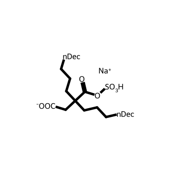 CCCCCCCCCCCCCC(CCCCCCCCCCCCC)(CC(=O)[O-])C(=O)OS(=O)(=O)O.[Na+]